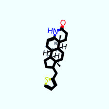 C[C@]12CCC(=O)NC1=CC[C@@H]1[C@H]2CC[C@]2(C)C(Cc3cccs3)CC[C@@H]12